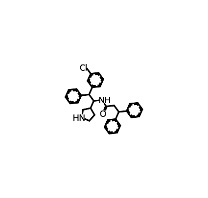 O=C(CC(c1ccccc1)c1ccccc1)NC(C1CCNC1)C(c1ccccc1)c1cccc(Cl)c1